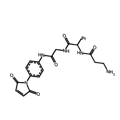 CC(C)C(NC(=O)CCN)C(=O)NCC(=O)Nc1ccc(N2C(=O)C=CC2=O)cc1